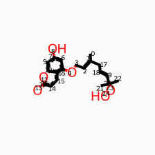 C/C(=C\COc1cc(O)cc2oc(=O)ccc12)C/C=C/C(C)(C)OO